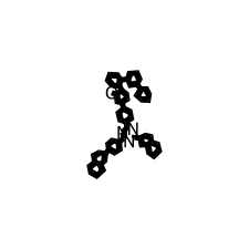 c1ccc(-c2cccc(-c3cccc4oc5cc(-c6ccc(-c7nc(-c8ccc(-c9ccc%10ccccc%10c9)cc8)nc(-c8ccc9ccccc9c8)n7)cc6)ccc5c34)c2)cc1